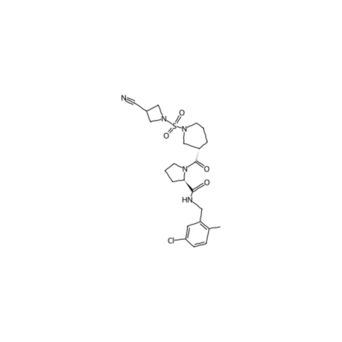 Cc1ccc(Cl)cc1CNC(=O)[C@H]1CCCN1C(=O)[C@H]1CCCN(S(=O)(=O)N2CC(C#N)C2)C1